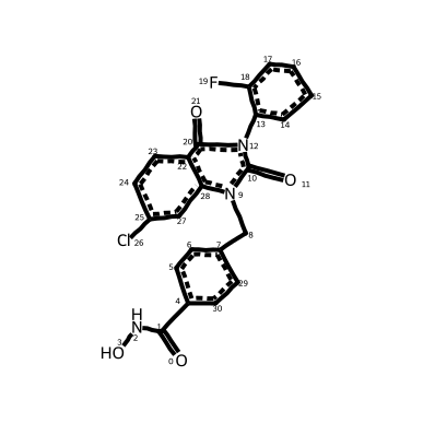 O=C(NO)c1ccc(Cn2c(=O)n(-c3ccccc3F)c(=O)c3ccc(Cl)cc32)cc1